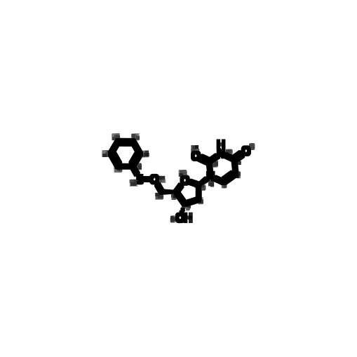 O=c1ccn([C@H]2C[C@H](O)[C@@H](COSc3ccccc3)O2)c(=O)[nH]1